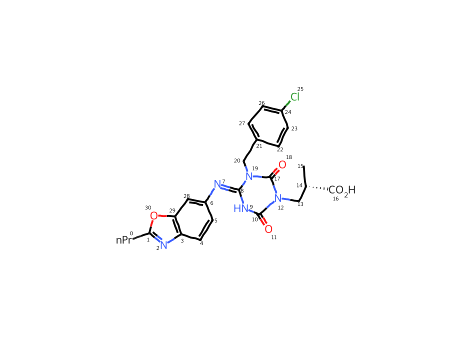 CCCc1nc2ccc(/N=c3\[nH]c(=O)n(C[C@H](C)C(=O)O)c(=O)n3Cc3ccc(Cl)cc3)cc2o1